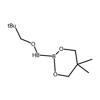 CC(C)(C)COBB1OCC(C)(C)CO1